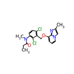 CCC(=O)N(C)c1ccc(Cl)c(COc2cccn3cc(C)nc23)c1Cl